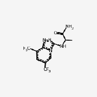 CC(Nc1nnc2c(C(F)(F)F)cc(C(F)(F)F)cn12)C(N)=O